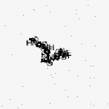 CC(C)COC(=O)[C@H](Cc1ccc(-n2c(=O)c(C(F)(F)F)cn(C)c2=O)nc1)NC(=O)c1cc(F)c(NS(=O)(=O)c2ccc(NC(=O)C(C)(C)C)cc2)cc1F